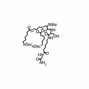 CCCCCCCCCCCCCCCC(=O)OCC(CSCC(NC)C(=O)NC(CO)C(=O)NCCCCCC(=O)NCC(N)=O)OC(=O)CCCCCCCCCCCCCCC